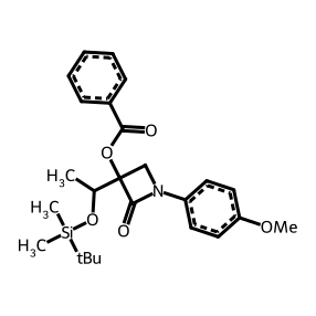 COc1ccc(N2CC(OC(=O)c3ccccc3)(C(C)O[Si](C)(C)C(C)(C)C)C2=O)cc1